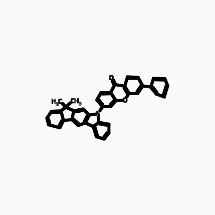 CC1(C)c2ccccc2-c2cc3c4ccccc4n(-c4ccc5c(=O)c6ccc(-c7ccccc7)cc6oc5c4)c3cc21